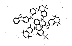 Cc1cc2c(cc1N1c3ccc(C(C)(C)C)cc3B3c4sc5cc6c(cc5c4N(c4ccc5c(c4)C(C)(C)CCC5(C)C)c4cc(N(c5ccccc5)c5ccc7c(c5)sc5ccccc57)cc1c43)C(C)(C)CCC6(C)C)C(C)(C)CCC2(C)C